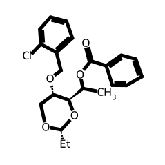 CC[C@@H]1OC[C@H](OCc2ccccc2Cl)[C@@H](C(C)OC(=O)c2ccccc2)O1